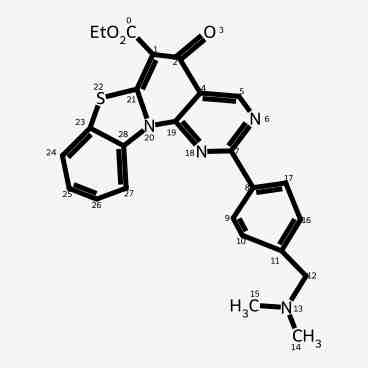 CCOC(=O)c1c(=O)c2cnc(-c3ccc(CN(C)C)cc3)nc2n2c1sc1ccccc12